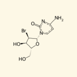 Nc1ccn([C@@H]2O[C@H](CO)[C@@H](O)[C@H]2Br)c(=O)n1